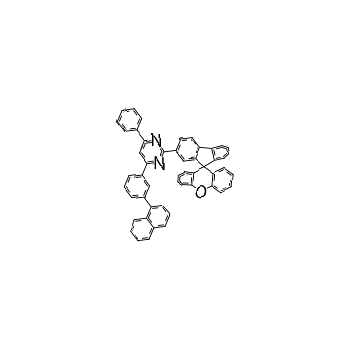 c1ccc(-c2cc(-c3cccc(-c4cccc5ccccc45)c3)nc(-c3ccc4c(c3)C3(c5ccccc5Oc5ccccc53)c3ccccc3-4)n2)cc1